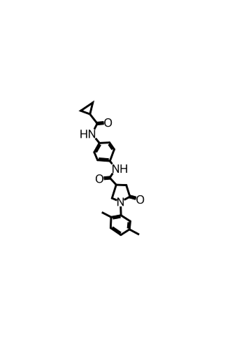 Cc1ccc(C)c(N2CC(C(=O)Nc3ccc(NC(=O)C4CC4)cc3)CC2=O)c1